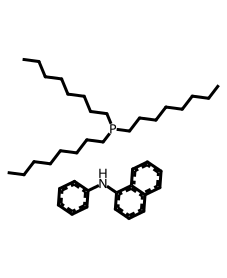 CCCCCCCCP(CCCCCCCC)CCCCCCCC.c1ccc(Nc2cccc3ccccc23)cc1